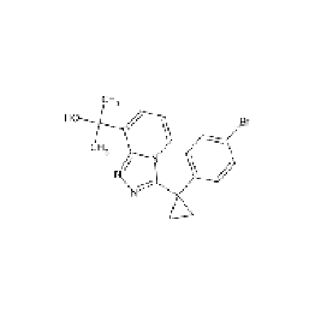 CC(C)(O)c1cccn2c(C3(c4ccc(Br)cc4)CC3)nnc12